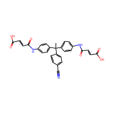 CC(c1ccc(C#N)cc1)(c1ccc(NC(=O)/C=C/C(=O)O)cc1)c1ccc(NC(=O)/C=C/C(=O)O)cc1